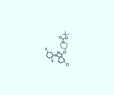 CC(C)(C)OC(=O)N1CCC(Oc2nn(-c3cc(F)ccc3F)c3ccc(Cl)cc23)CC1